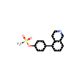 O=S(=O)(Oc1ccc(-c2cccc3cnccc23)cc1)C(F)(F)F